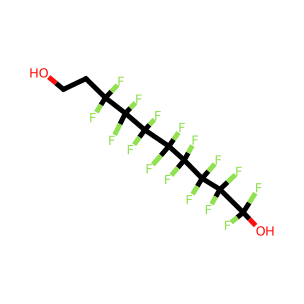 OCCC(F)(F)C(F)(F)C(F)(F)C(F)(F)C(F)(F)C(F)(F)C(F)(F)C(O)(F)F